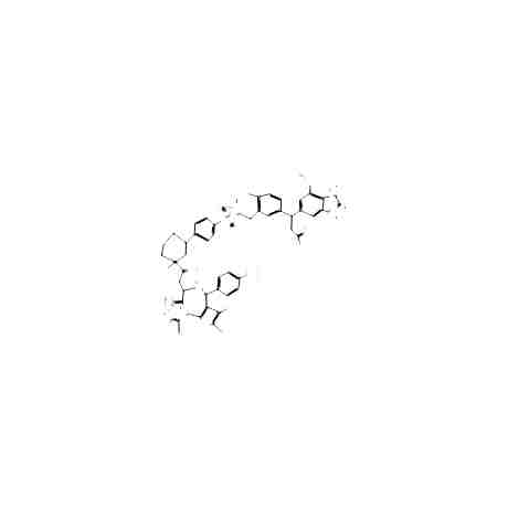 COc1cc(C(CC(=O)O)c2ccc(C)c(CN(C)S(=O)(=O)c3ccc(C4CCCC(C)(C(=O)CC5N=C(c6ccc(Cl)cc6)c6c(sc(C)c6C)-n6c(C)nnc65)C4)cc3)c2)cc2nnn(C)c12